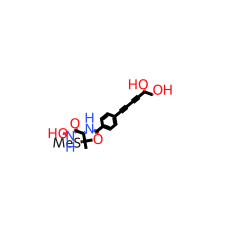 CSC(C)(C)C(NC(=O)c1ccc(C#CC#CC(O)CO)cc1)C(=O)NO